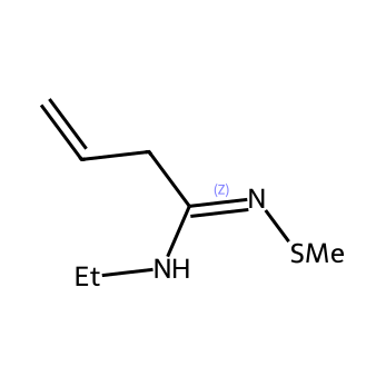 C=CC/C(=N/SC)NCC